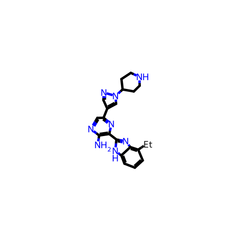 CCc1cccc2[nH]c(-c3nc(-c4cnn(C5CCNCC5)c4)cnc3N)nc12